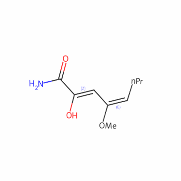 CCC/C=C(\C=C(/O)C(N)=O)OC